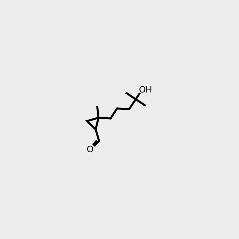 CC(C)(O)CCCC1(C)CC1C=O